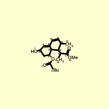 CCC(C)C(=O)O[C@H]1CC(O)C=C2C=CC(C)C(C(C)C(=O)OC)C21